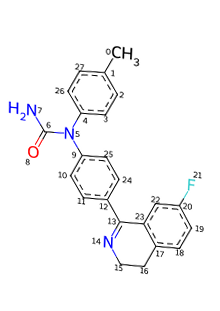 Cc1ccc(N(C(N)=O)c2ccc(C3=NCCc4ccc(F)cc43)cc2)cc1